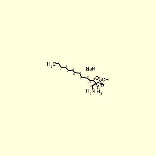 CCCCCCCCCCCCC(C)(CN)S(=O)(=O)O.[NaH]